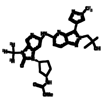 [2H]C([2H])([2H])n1c(=O)n([C@@H]2CC[C@@H](NC(=O)OC)C2)c2cc(Nc3ccc4nn(CC(C)(C)O)c(-c5cnn(C(F)(F)F)c5)c4n3)ncc21